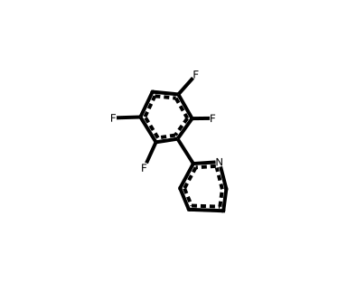 Fc1cc(F)c(F)c(-c2ccccn2)c1F